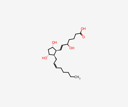 CCCCC/C=C\C[C@@H]1[C@H](/C=C/C(O)CCCC(=O)O)[C@@H](O)C[C@H]1O